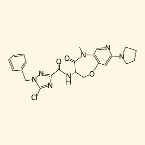 CN1C(=O)[C@@H](NC(=O)c2nc(Cl)n(Cc3ccccc3)n2)COc2cc(N3CCCC3)ncc21